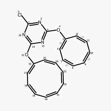 Clc1nc(OC2=C/C=C\C=C/C=C\2)nc(Oc2ccccccccc2)n1